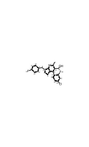 Cc1nc2c(ccn2Cc2ccc(F)cc2)c(-c2ccc(Cl)cc2F)c1CO